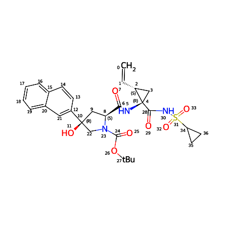 C=C[C@@H]1C[C@]1(NC(=O)[C@@H]1C[C@@](O)(c2ccc3ccccc3c2)CN1C(=O)OC(C)(C)C)C(=O)NS(=O)(=O)C1CC1